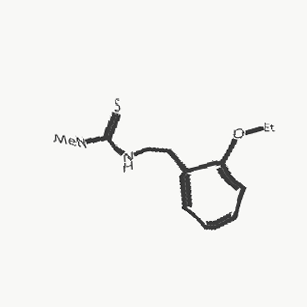 CCOc1ccccc1CNC(=S)NC